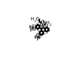 CCCC(=O)ON(C(N)=O)C(c1ccccc1)C(c1cccc(OC(F)(F)F)c1)c1cccc(OC(F)(F)F)c1